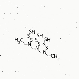 CCN(CN(CN(CC)SSS)SSS)SSS